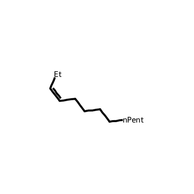 [CH2]CCCCCCCC/C=C\CC